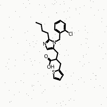 CCCCc1ncc(CC(Cc2cccs2)C(=O)O)n1Cc1ccccc1Cl